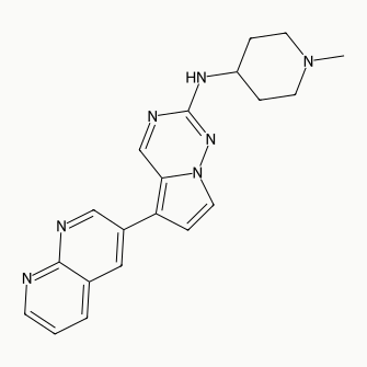 CN1CCC(Nc2ncc3c(-c4cnc5ncccc5c4)ccn3n2)CC1